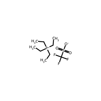 CC[P+](CC)(CC)CC.O=S(=O)([O-])C(F)(F)F